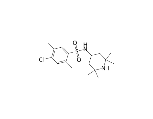 Cc1cc(S(=O)(=O)NC2CC(C)(C)NC(C)(C)C2)c(C)cc1Cl